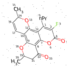 CCCc1c(F)c(=O)oc2c3c(c4c(c12)OC(C)C=C4)OC(C)CC3=O